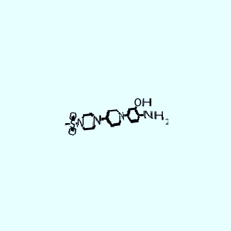 CS(=O)(=O)N1CCN(C2CCN(c3ccc(N)c(O)c3)CC2)CC1